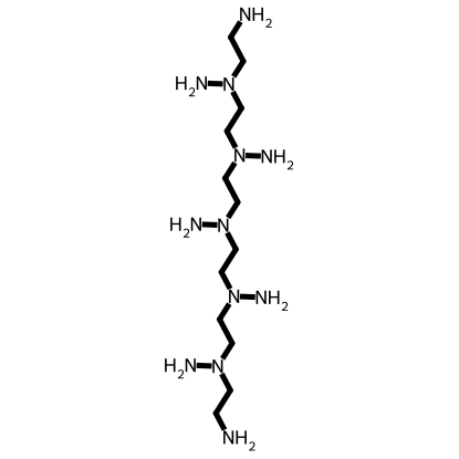 NCCN(N)CCN(N)CCN(N)CCN(N)CCN(N)CCN